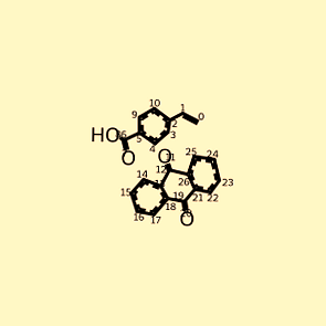 C=Cc1ccc(C(=O)O)cc1.O=C1c2ccccc2C(=O)c2ccccc21